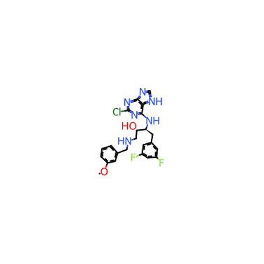 COc1cccc(CNC[C@@H](O)[C@H](Cc2cc(F)cc(F)c2)Nc2nc(Cl)nc3nc[nH]c23)c1